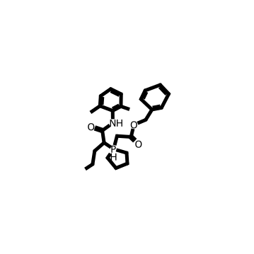 CCCC(C(=O)Nc1c(C)cccc1C)[PH]1(CC(=O)OCc2ccccc2)CCCC1